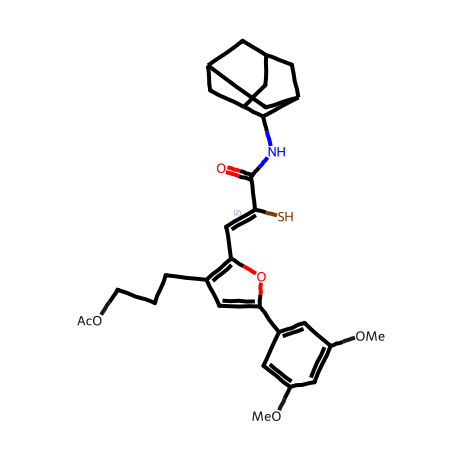 COc1cc(OC)cc(-c2cc(CCCOC(C)=O)c(/C=C(\S)C(=O)NC3C4CC5CC(C4)CC3C5)o2)c1